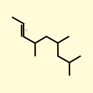 C/[C]=C/C(C)CC(C)CC(C)C